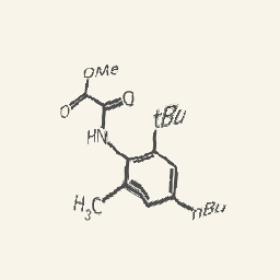 CCCCc1cc(C)c(NC(=O)C(=O)OC)c(C(C)(C)C)c1